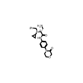 CC(C)C[As](C1CC1)[C@H](CN)C(=O)Nc1ccc(N2CCOCC2=O)cc1